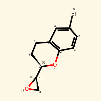 CCc1ccc2c(c1)CC[C@H]([C@H]1CO1)O2